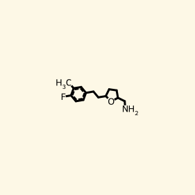 Cc1cc(CCC2CCC(CN)O2)ccc1F